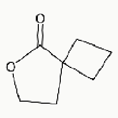 O=C1OCCC12CCC2